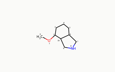 COC1CCCC2CNCC21